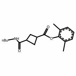 CCCCNC(=O)C1CC(C(=O)Oc2c(C)cccc2C)C1